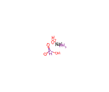 O.O=[PH]([O-])O.P.[Na+]